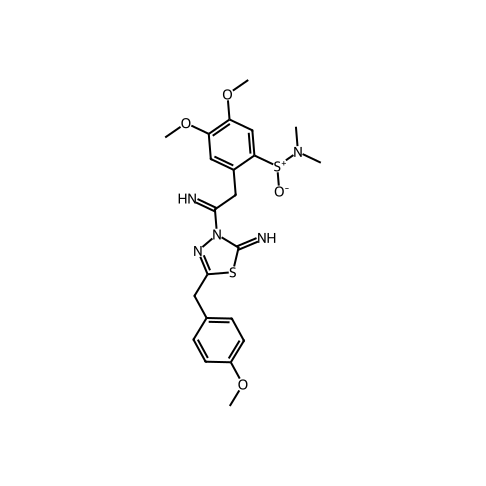 COc1ccc(Cc2nn(C(=N)Cc3cc(OC)c(OC)cc3[S+]([O-])N(C)C)c(=N)s2)cc1